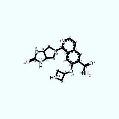 NC(=O)c1cc2ccnc(N3CC4NC(=O)OC4C3)c2cc1OC1CNC1